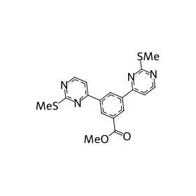 COC(=O)c1cc(-c2ccnc(SC)n2)cc(-c2ccnc(SC)n2)c1